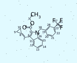 CCOC(=O)c1c(C=C2CC2)c2ccccc2n1Cc1cccc(C(F)(F)F)c1